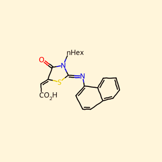 CCCCCCN1C(=O)C(=CC(=O)O)SC1=Nc1cccc2ccccc12